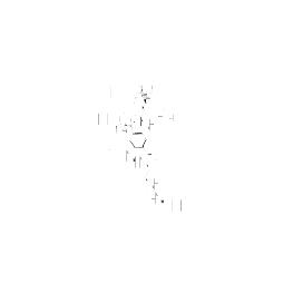 CN1CCN(CCNC(=O)c2cc(N(CCBr)CCOS(C)(=O)=O)c(S(C)(=O)=O)cc2[N+](=O)[O-])CC1